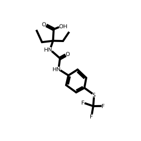 CCC(CC)(NC(=O)Nc1ccc(SC(F)(F)F)cc1)C(=O)O